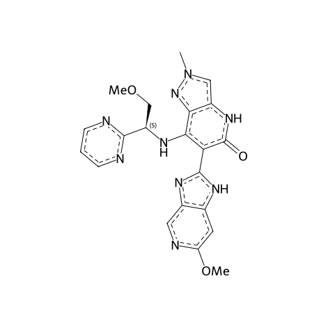 COC[C@@H](Nc1c(-c2nc3cnc(OC)cc3[nH]2)c(=O)[nH]c2cn(C)nc12)c1ncccn1